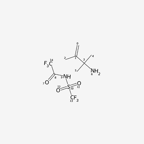 C=C(C)C(C)(C)N.O=C(NS(=O)(=O)C(F)(F)F)C(F)(F)F